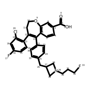 O=C(O)c1ccc2c(c1)OCCC(c1ccc(F)cc1Cl)=C2c1ccc(CC2CN(CCCF)C2)cc1